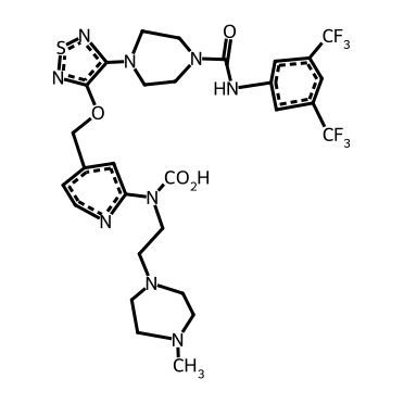 CN1CCN(CCN(C(=O)O)c2cc(COc3nsnc3N3CCN(C(=O)Nc4cc(C(F)(F)F)cc(C(F)(F)F)c4)CC3)ccn2)CC1